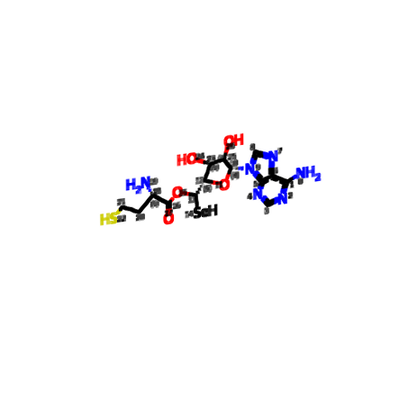 Nc1ncnc2c1ncn2[C@@H]1O[C@H](C([SeH])OC(=O)[C@@H](N)CCS)[C@@H](O)[C@H]1O